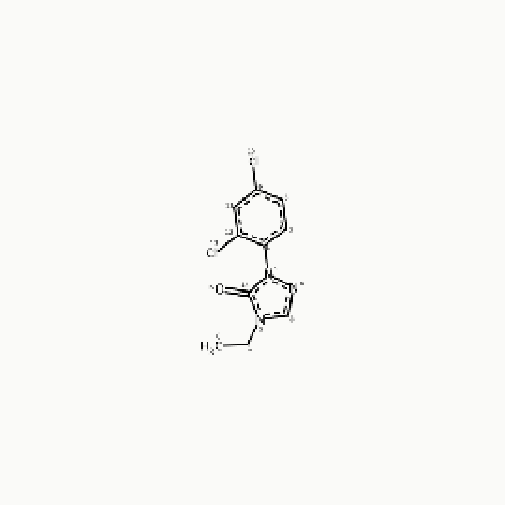 CCn1cnn(-c2ccc(Cl)cc2Cl)c1=O